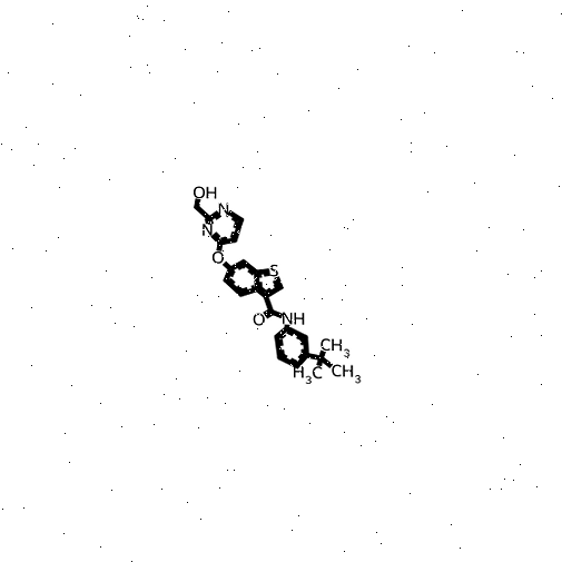 CC(C)(C)c1cccc(NC(=O)c2csc3cc(Oc4ccnc(CO)n4)ccc23)c1